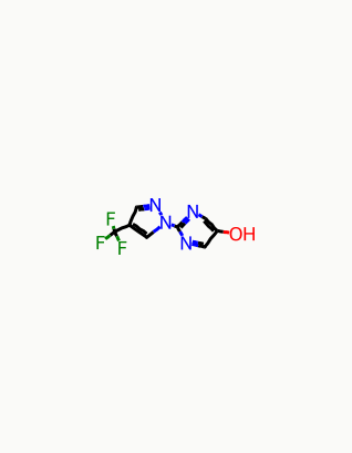 Oc1cnc(-n2cc(C(F)(F)F)cn2)nc1